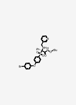 CC(C)[C@](NCc1cccnc1)(C(=O)NOC(C)(C)C)S(=O)(=O)c1ccc(Oc2ccc(Br)cc2)cc1